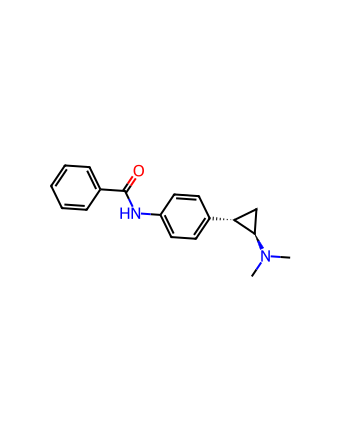 CN(C)[C@@H]1C[C@H]1c1ccc(NC(=O)c2ccccc2)cc1